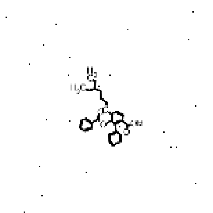 CCC(CC)CCCOc1ccc(C(=O)O)c(-c2ccccc2)c1OC(=O)c1ccccc1